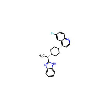 CC(c1nc2ccccc2[nH]1)[C@H]1CC[C@@H](c2ccnc3ccc(F)cc32)CC1